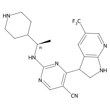 C[C@@H](Nc1ncc(C#N)c(C2CNc3ncc(C(F)(F)F)cc32)n1)C1CCNCC1